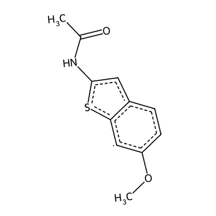 COc1[c]c2sc(NC(C)=O)cc2cc1